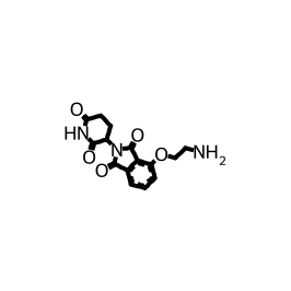 NCCOc1cccc2c1C(=O)N(C1CCC(=O)NC1=O)C2=O